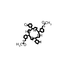 CC(=O)SCc1cccc(-c2c3nc(c(-c4cccc(I)c4)c4ccc([nH]4)c(-c4cccc(CSC(C)=O)c4)c4nc(c(-c5cccc(I)c5)c5ccc2[nH]5)C=C4)C=C3)c1.[Cu]